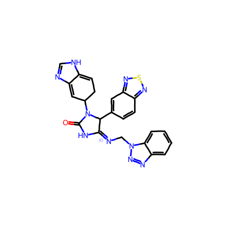 O=C1N/C(=N/Cn2nnc3ccccc32)C(c2ccc3nsnc3c2)N1C1C=c2nc[nH]c2=CC1